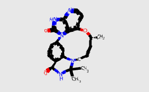 C[C@@H]1CCCN2c3cc(ccc3C(=O)NC2(C)C)-n2c(=O)[nH]c3nccc(c32)O1